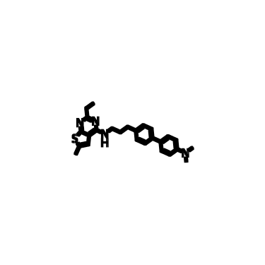 CCc1nc(NCCCc2ccc(-c3ccc(N(C)C)cc3)cc2)c2cc(C)sc2n1